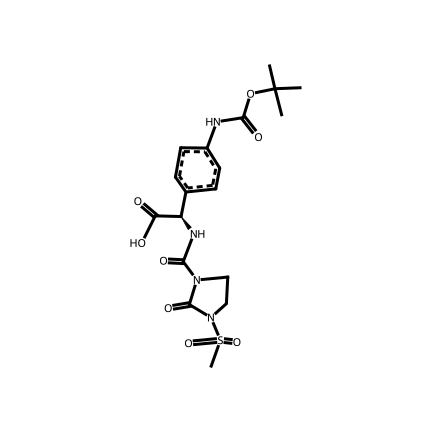 CC(C)(C)OC(=O)Nc1ccc([C@@H](NC(=O)N2CCN(S(C)(=O)=O)C2=O)C(=O)O)cc1